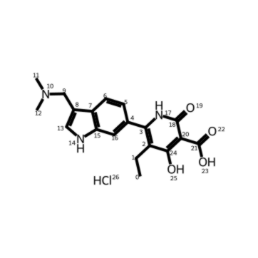 CCc1c(-c2ccc3c(CN(C)C)c[nH]c3c2)[nH]c(=O)c(C(=O)O)c1O.Cl